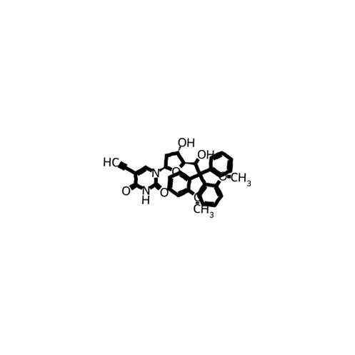 C#Cc1cn([C@H]2C[C@H](O)[C@@H](C(O)C(c3ccccc3)(c3ccccc3OC)c3ccccc3OC)O2)c(=O)[nH]c1=O